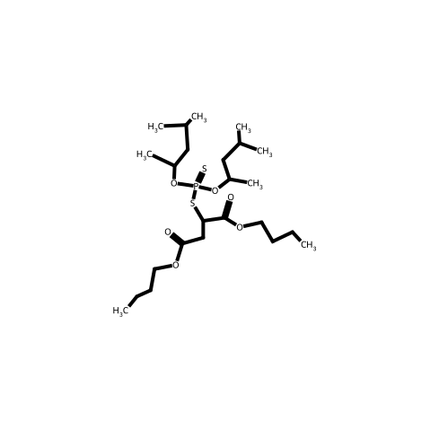 CCCCOC(=O)CC(SP(=S)(OC(C)CC(C)C)OC(C)CC(C)C)C(=O)OCCCC